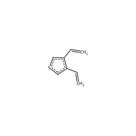 C=Cc1cscc1C=C